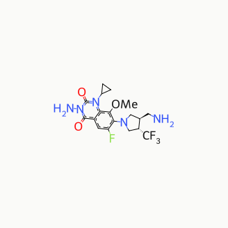 COc1c(N2C[C@@H](CN)[C@H](C(F)(F)F)C2)c(F)cc2c(=O)n(N)c(=O)n(C3CC3)c12